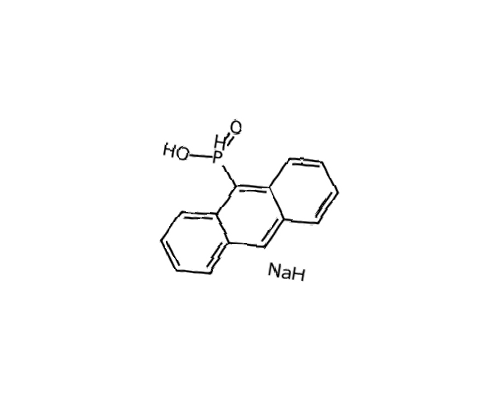 O=[PH](O)c1c2ccccc2cc2ccccc12.[NaH]